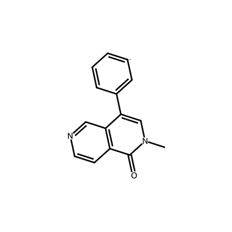 Cn1cc(-c2c[c]ccc2)c2cnccc2c1=O